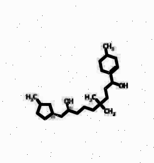 CC1CC=C(C(O)CCC(C)(C)CCC[C@H](O)C[C@H]2CCC(C)C2)CC1